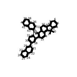 CC1(C)c2ccccc2-c2ccc3c(ccc4c5cc(-c6ccc7ccccc7c6)ccc5n(-c5ccc6ccccc6c5)c34)c21